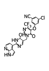 N#Cc1cc(Cl)cc(Oc2c(C(F)(F)F)ncn(CC3=CN=C(c4ccnc5[nH]ccc45)NC3O)c2=O)c1